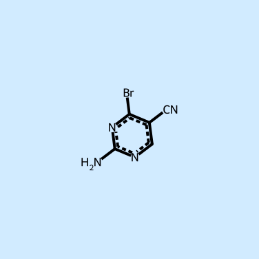 N#Cc1cnc(N)nc1Br